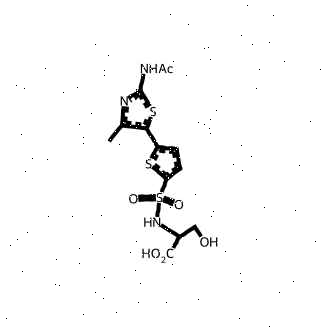 CC(=O)Nc1nc(C)c(-c2ccc(S(=O)(=O)NC(CO)C(=O)O)s2)s1